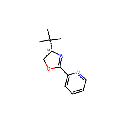 CC(C)(C)[C@H]1COC(c2ccccn2)=N1